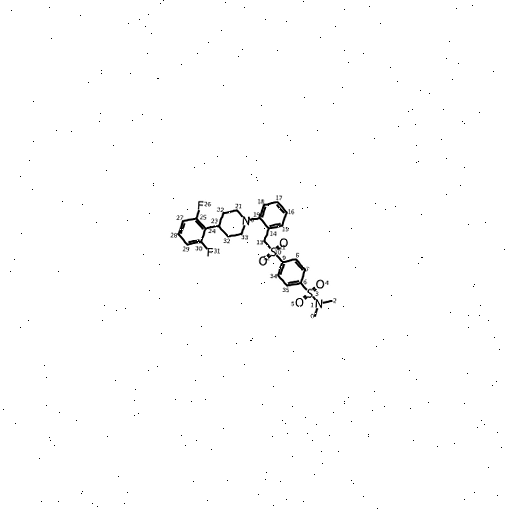 CN(C)S(=O)(=O)c1ccc(S(=O)(=O)Cc2ccccc2N2CCC(c3c(F)cccc3F)CC2)cc1